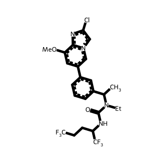 CCN(C(=O)NC(CCC(F)(F)F)C(F)(F)F)C(C)c1cccc(-c2cc(OC)c3nc(Cl)cn3c2)c1